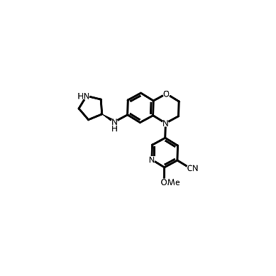 COc1ncc(N2CCOc3ccc(N[C@H]4CCNC4)cc32)cc1C#N